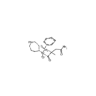 CC(C)(CC(N)=O)C(=O)[N+]([O-])(C1CCCNCC1)S(=O)(=O)c1ccccc1